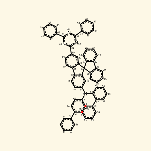 c1ccc(-c2ccc(N(c3ccc4c(c3)C3(c5ccccc5-c5ccccc53)c3cc(-c5nc(-c6ccccc6)nc(-c6ccccc6)n5)ccc3-4)c3ccccc3-c3ccccc3)cc2)cc1